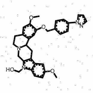 COc1ccc2c(c1)c1c(n2CO)CN2CCc3cc(OC)c(OCc4ccc(-n5cccn5)cc4)cc3C2C1